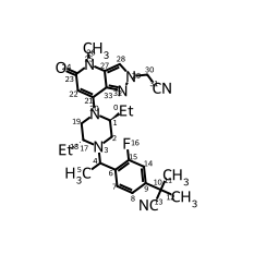 CC[C@H]1CN(C(C)c2ccc(C(C)(C)C#N)cc2F)[C@H](CC)CN1c1cc(=O)n(C)c2cn(CC#N)nc12